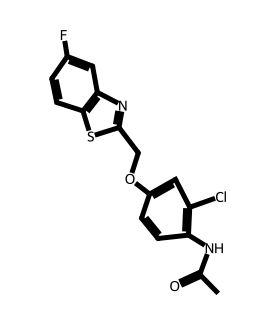 CC(=O)Nc1ccc(OCc2nc3cc(F)ccc3s2)cc1Cl